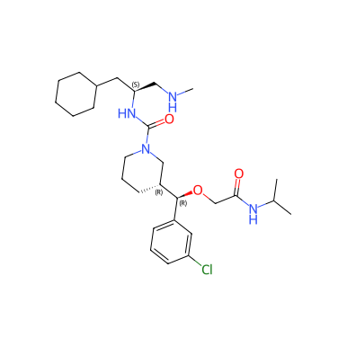 CNC[C@H](CC1CCCCC1)NC(=O)N1CCC[C@@H]([C@@H](OCC(=O)NC(C)C)c2cccc(Cl)c2)C1